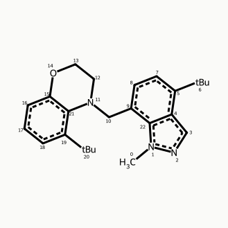 Cn1ncc2c(C(C)(C)C)ccc(CN3CCOc4cccc(C(C)(C)C)c43)c21